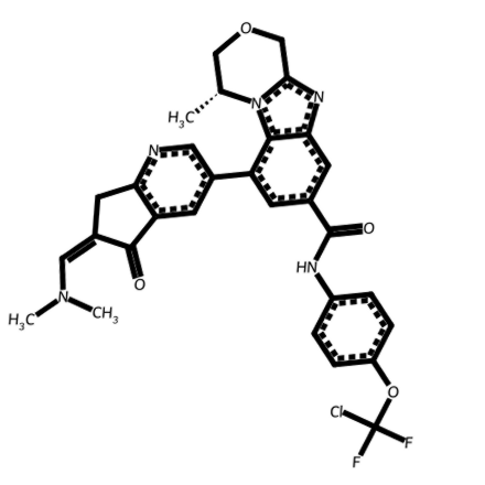 C[C@@H]1COCc2nc3cc(C(=O)Nc4ccc(OC(F)(F)Cl)cc4)cc(-c4cnc5c(c4)C(=O)/C(=C\N(C)C)C5)c3n21